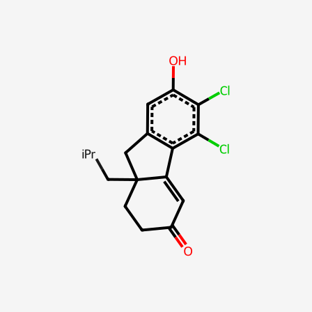 CC(C)CC12CCC(=O)C=C1c1c(cc(O)c(Cl)c1Cl)C2